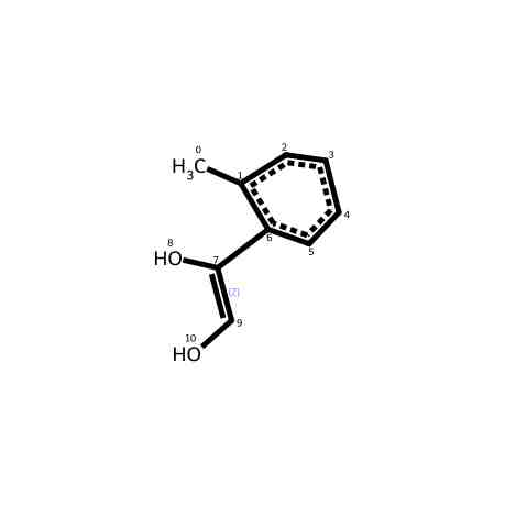 Cc1ccccc1/C(O)=C/O